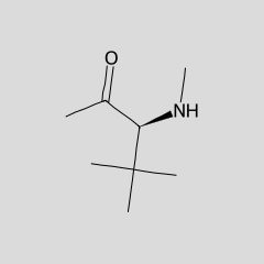 CN[C@H](C(C)=O)C(C)(C)C